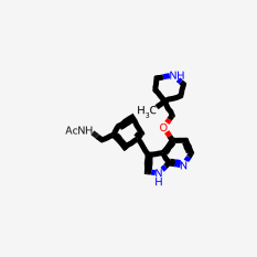 CC(=O)NCc1cccc(-c2c[nH]c3nccc(OCC4(C)CCNCC4)c23)c1